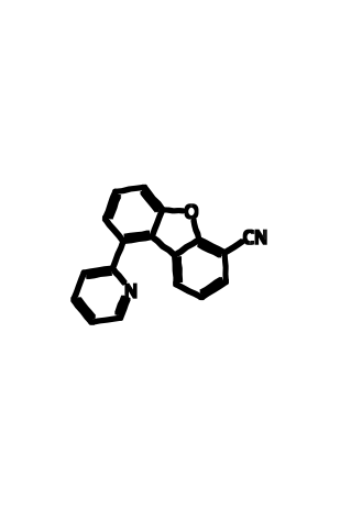 N#Cc1cccc2c1oc1cccc(-c3ccccn3)c12